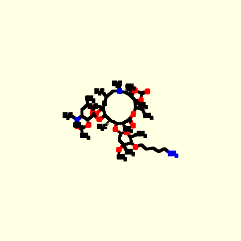 CC[C@H]1OC(=O)[C@H](C)[C@@H](O[C@H]2C[C@@](C)(OC)[C@@H](OCCCCCN)[C@H](C)O2)[C@H](C)[C@@H](O[C@@H]2O[C@H](C)C[C@H](N(C)C)[C@H]2OC(C)=O)[C@](C)(O)C[C@@H](C)CN(C)[C@H](C)[C@H]2OC(=O)O[C@@]21C